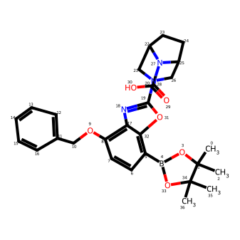 CC1(C)OB(c2ccc(OCc3ccccc3)c3nc(N4CC5CCC(C4)N5C(=O)O)oc23)OC1(C)C